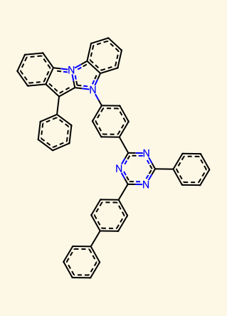 c1ccc(-c2ccc(-c3nc(-c4ccccc4)nc(-c4ccc(-n5c6ccccc6n6c7ccccc7c(-c7ccccc7)c56)cc4)n3)cc2)cc1